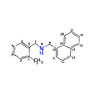 Cc1ccccc1CNCc1cccc2ccccc12